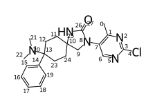 Cc1nc(Cl)ncc1N1CC2(CCC(c3ccccc3)(N(C)C)CC2)NC1=O